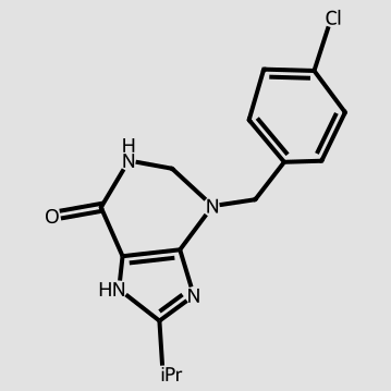 CC(C)c1nc2c([nH]1)C(=O)NCN2Cc1ccc(Cl)cc1